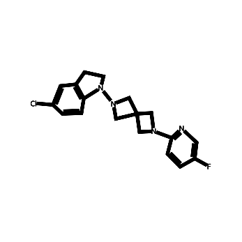 Fc1ccc(N2CC3(C2)CN(N2CCc4cc(Cl)ccc42)C3)nc1